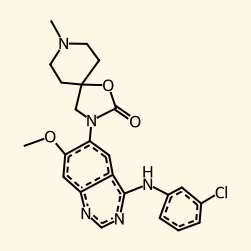 COc1cc2ncnc(Nc3cccc(Cl)c3)c2cc1N1CC2(CCN(C)CC2)OC1=O